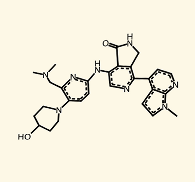 CN(C)Cc1nc(Nc2cnc(-c3ccnc4c3ccn4C)c3c2C(=O)NC3)ccc1N1CCC(O)CC1